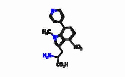 Cn1cc(CC(N)C(=O)O)c2c([N+](=O)[O-])ccc(-c3ccncc3)c21